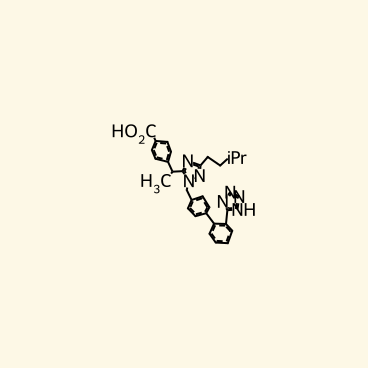 CC(C)CCc1nc(C(C)c2ccc(C(=O)O)cc2)n(Cc2ccc(-c3ccccc3-c3nnn[nH]3)cc2)n1